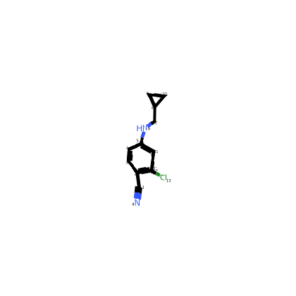 N#Cc1ccc(NCC2CC2)cc1Cl